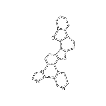 c1ccc2c(c1)oc1c2ccc2oc3c(ccc4c3c3ccncc3c3nccn43)c21